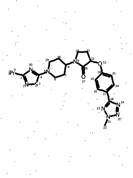 CC(C)c1nsc(N2CCC(N3CCC(Oc4ccc(-c5nnn(C)n5)cc4)C3=O)CC2)n1